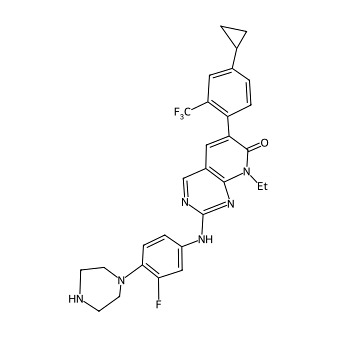 CCn1c(=O)c(-c2ccc(C3CC3)cc2C(F)(F)F)cc2cnc(Nc3ccc(N4CCNCC4)c(F)c3)nc21